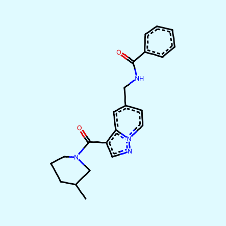 CC1CCCN(C(=O)c2cnn3ccc(CNC(=O)c4ccccc4)cc23)C1